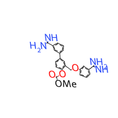 COC(=O)Oc1ccc(-c2cccc(C(=N)N)c2)cc1COc1cccc(C(=N)N)c1